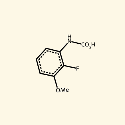 COc1cccc(NC(=O)O)c1F